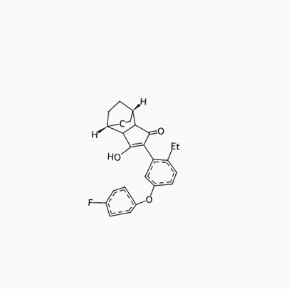 CCc1ccc(Oc2ccc(F)cc2)cc1C1=C(O)C2C(C1=O)[C@H]1CC[C@@H]2CC1